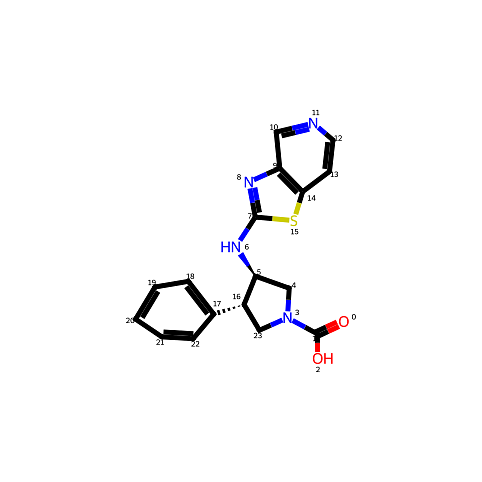 O=C(O)N1C[C@H](Nc2nc3cnccc3s2)[C@@H](c2ccccc2)C1